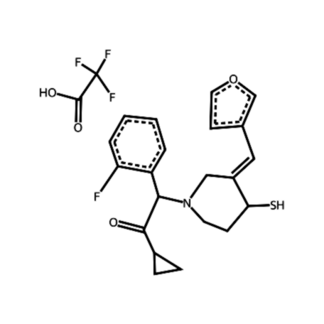 O=C(C1CC1)C(c1ccccc1F)N1CCC(S)/C(=C/c2ccoc2)C1.O=C(O)C(F)(F)F